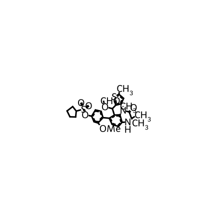 COc1cc(OS(=O)(=O)C2CCCC2)ccc1-c1ccc2c(c1C(OC=O)c1ccc(C)s1)N(C)C(=O)C(C)(C)N2